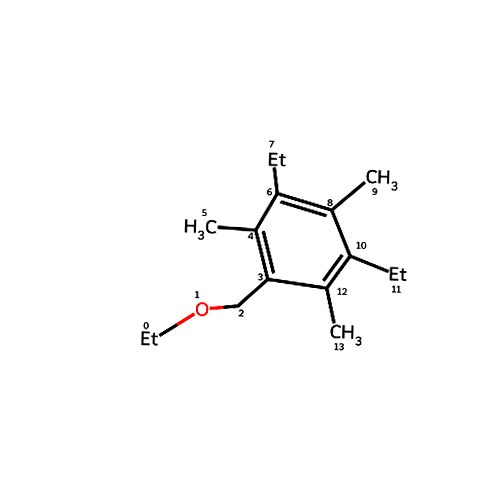 CCOCc1c(C)c(CC)c(C)c(CC)c1C